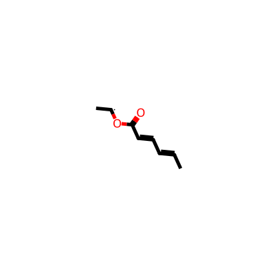 C[CH]OC(=O)C=CC=CC